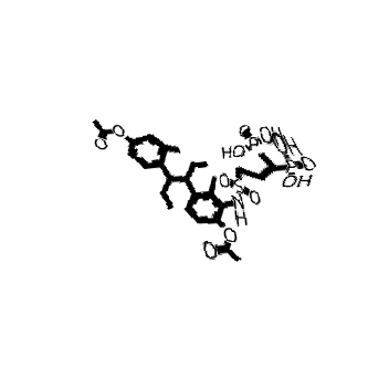 CCC(c1ccc(OC(C)=O)cc1C)C(CC)c1ccc(OC(C)=O)c(NS(=O)(=O)CCC(P(=O)(O)O)P(=O)(O)O)c1C